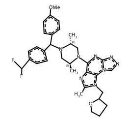 COc1ccc(C(c2ccc(C(F)F)cc2)N2C[C@H](C)N(c3nc4nncn4c4c3nc(C)n4CC3CCCO3)C[C@H]2C)cc1